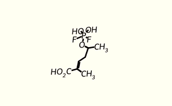 CC(=CCC(C)OP(O)(O)(F)F)C(=O)O